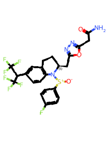 NC(=O)Cc1nnc(C[C@@H]2CCc3cc(C(C(F)(F)F)C(F)(F)F)ccc3N2[S+]([O-])c2ccc(F)cc2)o1